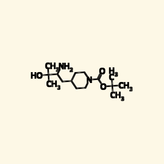 CC(C)(C)OC(=O)N1CCC(CC(N)C(C)(C)O)CC1